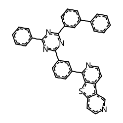 c1ccc(-c2cccc(-c3nc(-c4ccccc4)nc(-c4cccc(-c5nccc6c5sc5ccncc56)c4)n3)c2)cc1